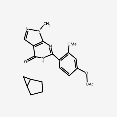 C1CC2CC2C1.COc1cc(OOC(C)=O)ccc1-c1nc2c(cnn2C)c(=O)[nH]1